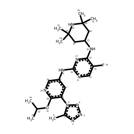 Cc1nnnn1-c1cc(Nc2ncc(F)c(NC3CC(C)(C)NC(C)(C)C3)n2)cnc1OC(C)C